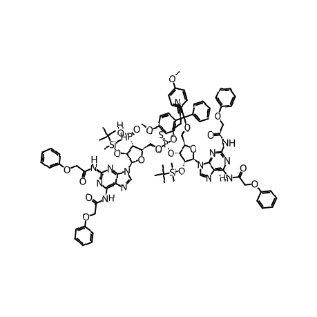 COc1ccc(C(OC[C@H]2O[C@@H](n3cnc4c(NC(=O)COc5ccccc5)nc(NC(=O)COc5ccccc5)nc43)[C@H](O[Si](C)(C)C(C)(C)C)[C@@H]2OP(=S)(OCCC#N)OC[C@H]2O[C@@H](n3cnc4c(NC(=O)COc5ccccc5)nc(NC(=O)COc5ccccc5)nc43)[C@@H](O[Si](C)(C)C(C)(C)C)[C@@H]2[PH](=O)O)(c2ccccc2)c2ccc(OC)cc2)cc1